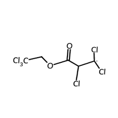 O=C(OCC(Cl)(Cl)Cl)C(Cl)[C](Cl)Cl